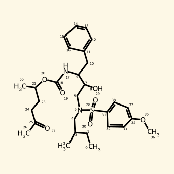 CCC(C)CN(CC(O)C(Cc1ccccc1)NC(=O)OC(C)CCC(C)=O)S(=O)(=O)c1ccc(OC)cc1